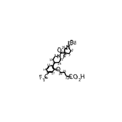 CC(C)(C)N1CC[C@](F)(C(=O)N2CCC(c3ccc(C(F)(F)F)cc3OCCCC(=O)O)CC2)C1